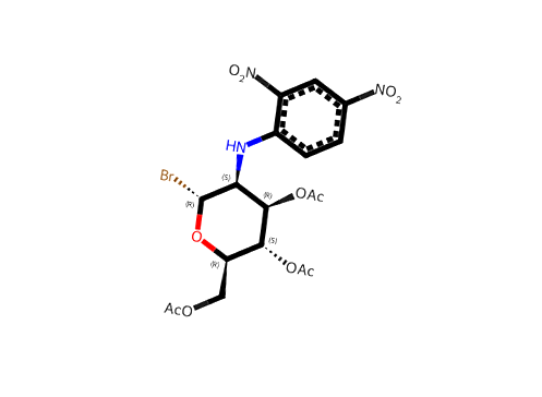 CC(=O)OC[C@H]1O[C@H](Br)[C@@H](Nc2ccc([N+](=O)[O-])cc2[N+](=O)[O-])[C@@H](OC(C)=O)[C@@H]1OC(C)=O